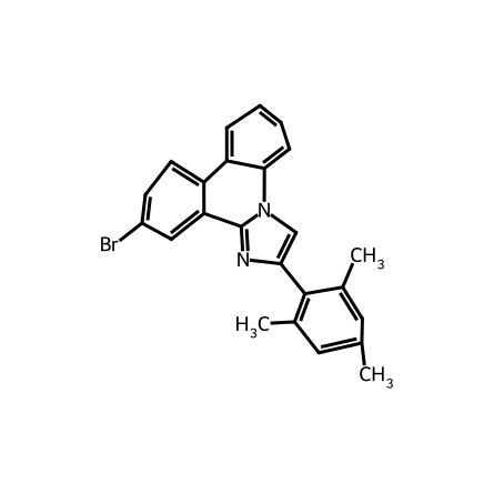 Cc1cc(C)c(-c2cn3c4ccccc4c4ccc(Br)cc4c3n2)c(C)c1